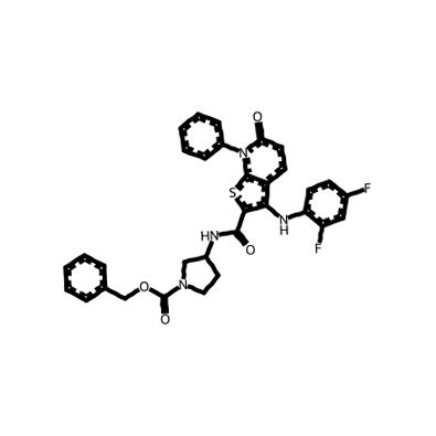 O=C(NC1CCN(C(=O)OCc2ccccc2)C1)c1sc2c(ccc(=O)n2-c2ccccc2)c1Nc1ccc(F)cc1F